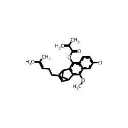 C=C(C)C(=O)Oc1c2c(c(OC)c3cc(Cl)ccc13)C1C=C(CCC=C(C)C)C2C1